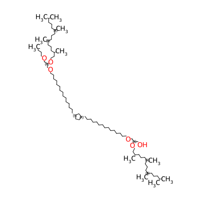 CCCCOC[C@H](COCCCCCCCCCCCCCCC[C@H]1CC[C@@H](CCCCCCCCCCCCCCCOC[C@@H](CO)OCCC(C)CCC[C@H](C)CCC[C@H](C)CCCC(C)C)C1)OCCC(C)CCC[C@H](C)CCC[C@H](C)CCCC(C)C